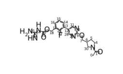 CC(=O)N1CCC(COc2ncc(-c3cccc(COC(=O)NC(=N)N)c3F)cn2)C1